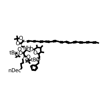 CC#CC#CC#CC#CC#CC#CC#CC#CC#CC#CC#C[C@H]1OC(C)(C)O[C@H]1C(=O)N[C@@H](COC1OC(COCc2ccccc2)C(C)C(C)C1C)[C@H](O[Si](C)(C)C(C)(C)C)[C@@H](CCCCCCCCCCCCCC)O[Si](C)(C)C(C)(C)C